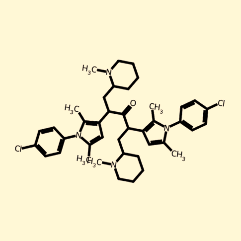 Cc1cc(C(CC2CCCCN2C)C(=O)C(CC2CCCCN2C)c2cc(C)n(-c3ccc(Cl)cc3)c2C)c(C)n1-c1ccc(Cl)cc1